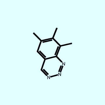 Cc1cc2cnnnc2c(C)c1C